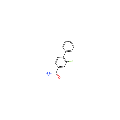 NC(=O)c1ccc(-c2ccccc2)c(F)c1